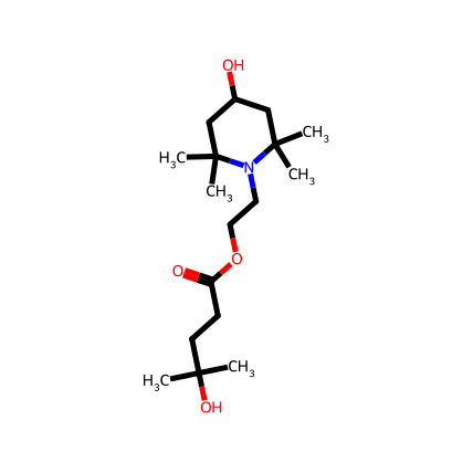 CC(C)(O)CCC(=O)OCCN1C(C)(C)CC(O)CC1(C)C